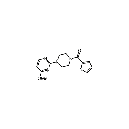 COc1ccnc(N2CCN(C(=O)c3ccc[nH]3)CC2)n1